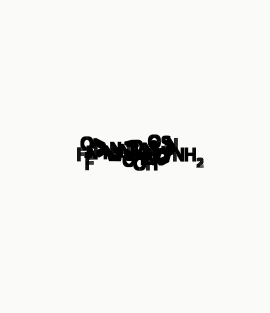 Nc1nsc2c1ccc1[nH]c([C@H](O)[C@H]3OCCN(c4ccn(-c5ccc(=O)n(C(F)F)c5)n4)C3=O)nc(=O)c12